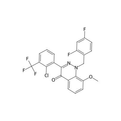 COc1cccc2c(=O)c(-c3cccc(C(F)(F)F)c3Cl)nn(Cc3ccc(F)cc3F)c12